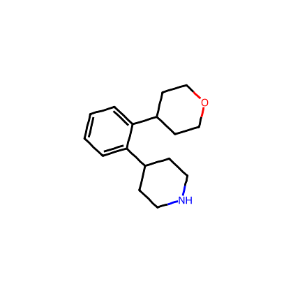 c1ccc(C2CCOCC2)c(C2CCNCC2)c1